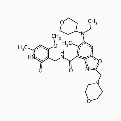 CCN(c1cc2oc(CN3CCOCC3)nc2c(C(=O)NCc2c(OC)cc(C)[nH]c2=O)c1C)C1CCOCC1